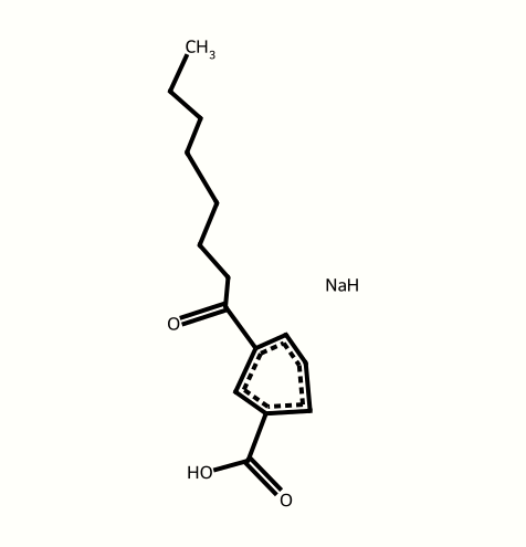 CCCCCCCC(=O)c1cccc(C(=O)O)c1.[NaH]